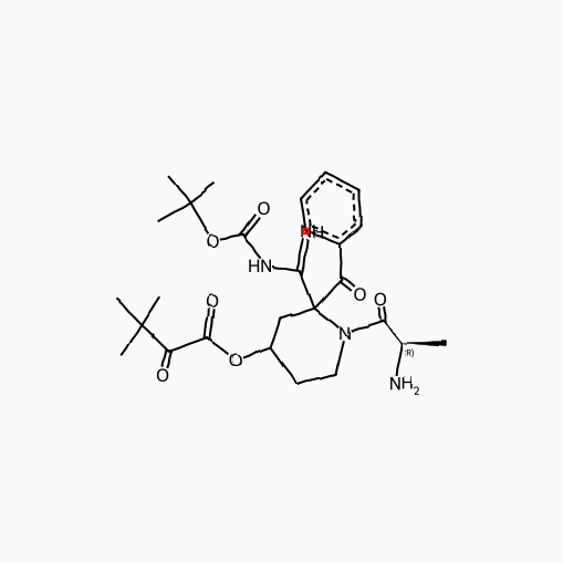 C[C@@H](N)C(=O)N1CCC(OC(=O)C(=O)C(C)(C)C)CC1(C(=N)NC(=O)OC(C)(C)C)C(=O)c1ccccc1